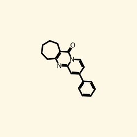 O=c1c2c(nc3cc(-c4ccccc4)ccn13)CCCCC2